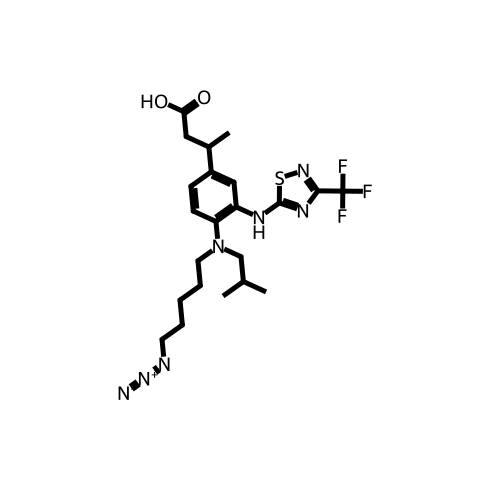 CC(C)CN(CCCCCN=[N+]=[N-])c1ccc(C(C)CC(=O)O)cc1Nc1nc(C(F)(F)F)ns1